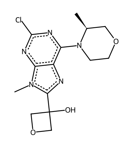 C[C@H]1COCCN1c1nc(Cl)nc2c1nc(C1(O)COC1)n2C